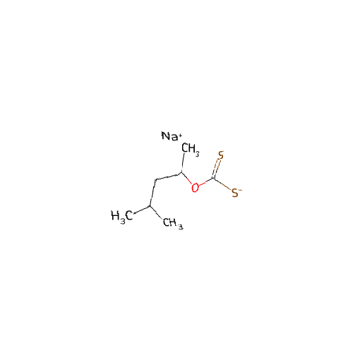 CC(C)CC(C)OC(=S)[S-].[Na+]